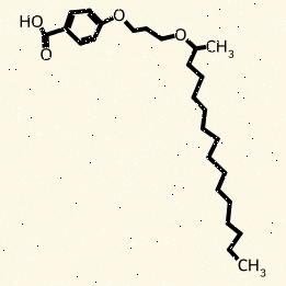 CCCCCCCCCCCCCCC(C)OCCCOc1ccc(C(=O)O)cc1